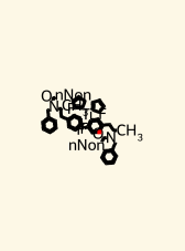 CCCCCCCCCC(=O)N(Cc1ccccc1)C(C)Cc1ccc(F)[c]([Ti]([C]2=CC=CC2)([C]2=CC=CC2)[c]2c(F)ccc(CC(C)N(Cc3ccccc3)C(=O)CCCCCCCCC)c2F)c1F